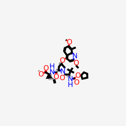 C=C[C@@H]1C[C@]1(NC(=O)[C@@H]1C[C@@H](Oc2cc(OCC)nc3c(C)c(OC)ccc23)CN1C(=O)[C@@H](NC(=O)OC1CCCC1)C(C)(C)C)C(=O)OC